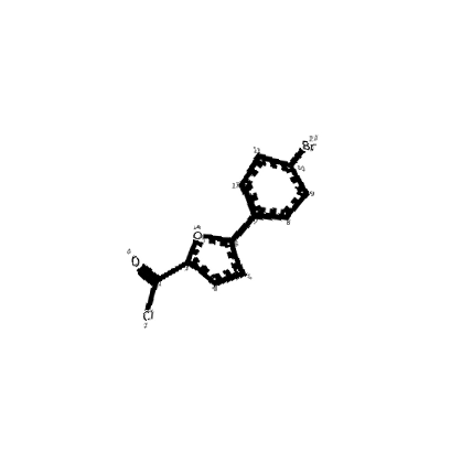 O=C(Cl)c1ccc(-c2ccc(Br)cc2)o1